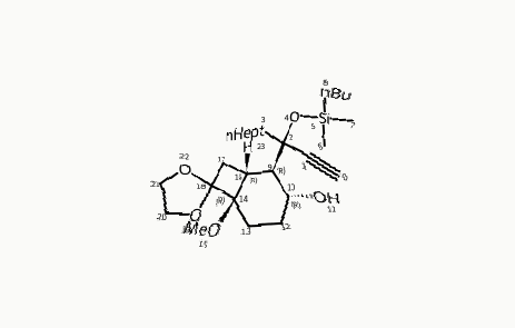 C#CC(CCCCCCC)(O[Si](C)(C)CCCC)[C@H]1[C@H](O)CC[C@@]2(OC)[C@@H]1CC21OCCO1